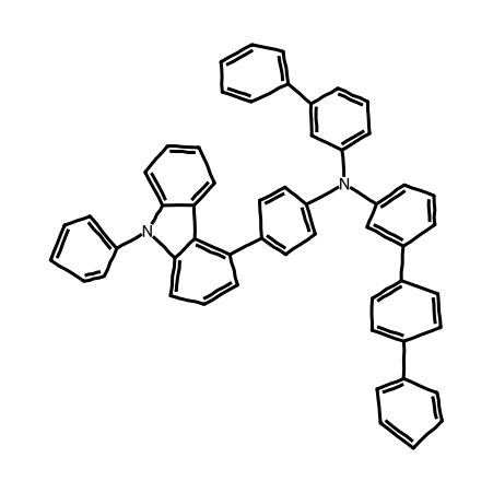 c1ccc(-c2ccc(-c3cccc(N(c4ccc(-c5cccc6c5c5ccccc5n6-c5ccccc5)cc4)c4cccc(-c5ccccc5)c4)c3)cc2)cc1